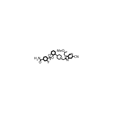 COC(C)Cn1c(CN2CCC(c3cccc4c3OC(C)(c3ccc(C(N)=O)cc3F)O4)CC2)nc2cc(C#N)ncc21